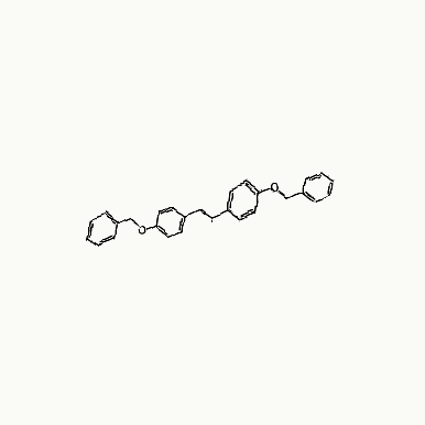 [CH](Cc1ccc(OCc2ccccc2)cc1)c1ccc(OCc2ccccc2)cc1